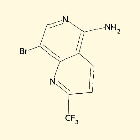 Nc1ncc(Br)c2nc(C(F)(F)F)ccc12